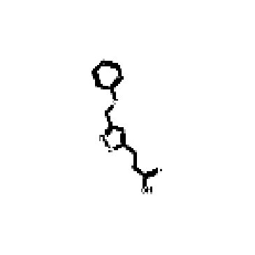 O=C(O)CCc1nc(COc2ccccc2)no1